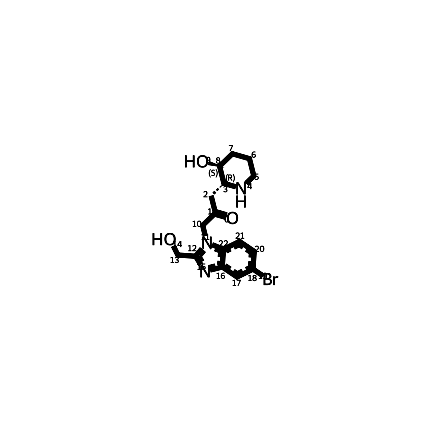 O=C(C[C@H]1NCCC[C@@H]1O)Cn1c(CO)nc2cc(Br)ccc21